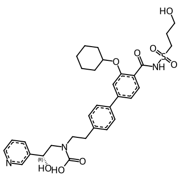 O=C(NS(=O)(=O)CCCO)c1ccc(-c2ccc(CCN(C[C@H](O)c3cccnc3)C(=O)O)cc2)cc1OC1CCCCC1